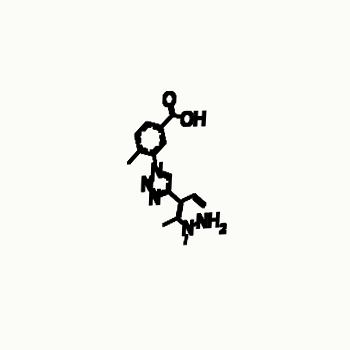 C=C/C(=C(/C)N(C)N)c1cn(-c2cc(C(=O)O)ccc2C)nn1